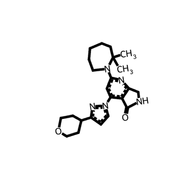 CC1(C)CCCCCN1c1cc(-n2ccc(C3CCOCC3)n2)c2c(n1)CNC2=O